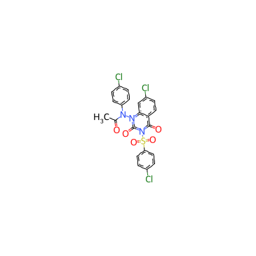 CC(=O)N(c1ccc(Cl)cc1)n1c(=O)n(S(=O)(=O)c2ccc(Cl)cc2)c(=O)c2ccc(Cl)cc21